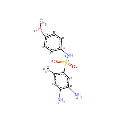 Nc1cc(C(F)(F)F)c(S(=O)(=O)Nc2ccc(OC(F)(F)F)cc2)cc1N